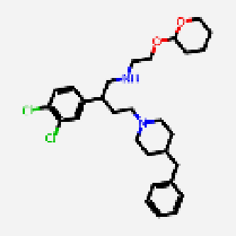 Clc1ccc(C(CCN2CCC(Cc3ccccc3)CC2)CNCCOC2CCCCO2)cc1Cl